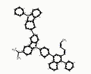 C/C=C\C=C/c1cc(-c2ccc(-n3c4ccc(-c5ccc6c(c5)c5ccccc5n6-c5ccccc5)cc4c4cc(C(C)C)ccc43)cc2)c2ccccc2c1-c1ccccc1